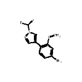 NSc1cc(N)ccc1-c1cnn(C(F)F)c1